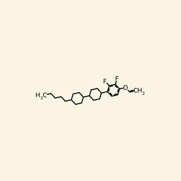 C=COc1ccc(C2CCC(C3CCC(CCCCC)CC3)CC2)c(F)c1F